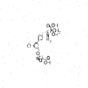 C[C@@](CO)(C[C@H](N)Cc1ccc(-c2cc(Cl)cc(COc3cc(C(=O)O)on3)c2)cc1)C(=O)O